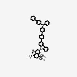 CC1(C)CCC(C)(C)c2cc(-n3c4ccccc4c4cc(-c5ccc(-c6ccc(N(c7ccccc7)c7ccc(-c8ccccc8)cc7)cc6)cc5)ccc43)ccc21